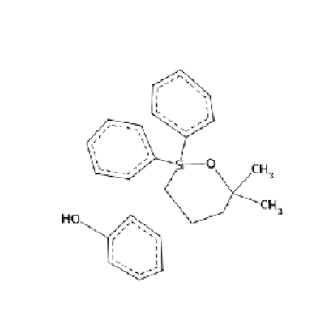 CC1(C)CCC[Si](c2ccccc2)(c2ccccc2)O1.Oc1ccccc1